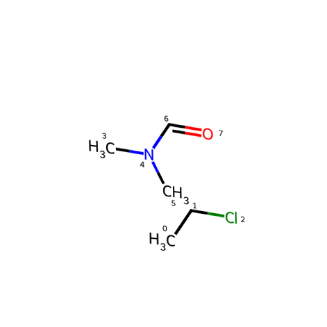 CCCl.CN(C)C=O